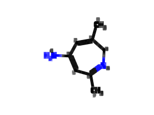 CC1=CC(N)=CC(C)=NC1